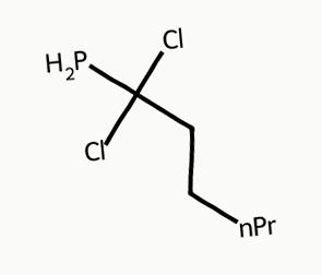 CCCCCC(P)(Cl)Cl